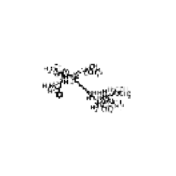 CC(C)(C)OC(=O)CC[C@H](NC(=O)N[C@@H](CCC(=O)NCCCCCCCC(=O)N[C@@H](CCCCNC(=O)OC(C)(C)C)C(=O)N[C@@H](CCCCc1c(C(N)=O)[nH]c2ccccc12)C(=O)C(=O)OC(C)(C)C)C(=O)OC(C)(C)C)C(=O)OC(C)(C)C